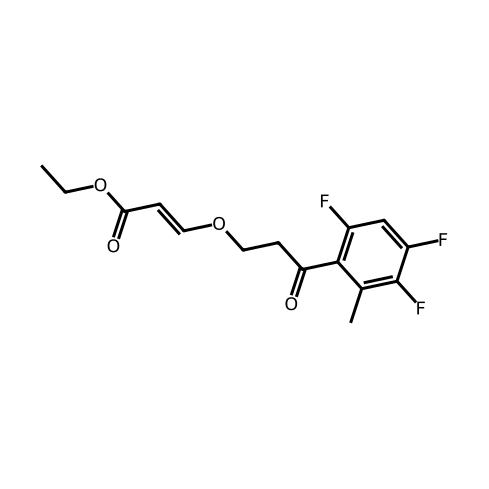 CCOC(=O)C=COCCC(=O)c1c(F)cc(F)c(F)c1C